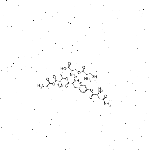 C[C@@H](OC(=O)[C@@H](N)Cc1ccc(OC(=O)[C@@H](N)CC(N)=O)cc1)[C@H](N)C(=O)OC(=O)CN.N[C@@H](COC(=O)[C@@H](N)CS)C(=O)O